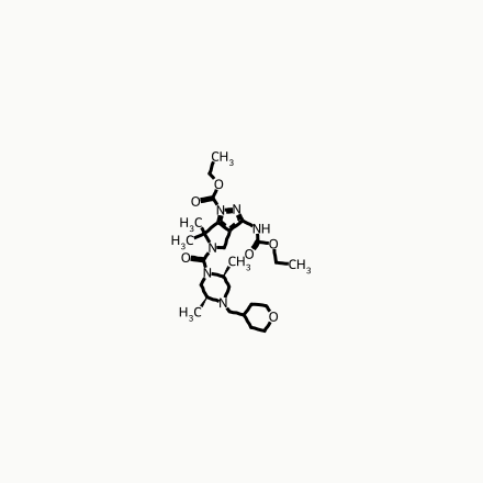 CCOC(=O)Nc1nn(C(=O)OCC)c2c1CN(C(=O)N1C[C@H](C)N(CC3CCOCC3)C[C@@H]1C)C2(C)C